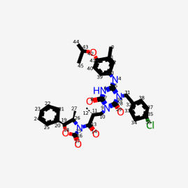 Cc1cc(/N=c2\[nH]c(=O)n(C[C@@H](C)C(=O)N3C(=O)O[C@@H](c4ccccc4)[C@H]3C)c(=O)n2Cc2ccc(Cl)cc2)ccc1OC(C)C